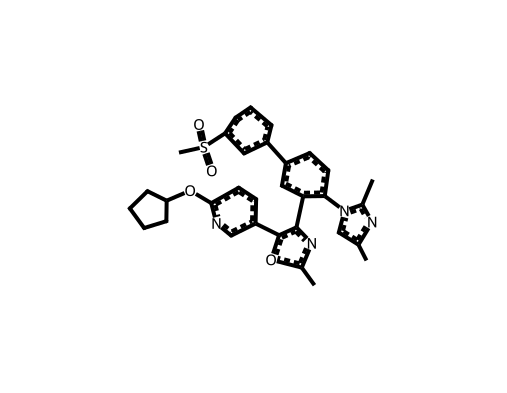 Cc1cn(-c2ccc(-c3cccc(S(C)(=O)=O)c3)cc2-c2nc(C)oc2-c2ccc(OC3CCCC3)nc2)c(C)n1